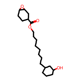 O=C(OCCCCCCCCC1CCCC(O)C1)C1CCC2OC2C1